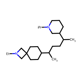 CCN1CC2(CCC(C(C)CCC(C)C3CCCN(C(C)C)C3)CC2)C1